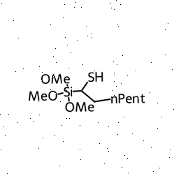 CCCCCCC(S)[Si](OC)(OC)OC